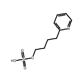 O=S(=O)(O)OCCCCc1ccccn1